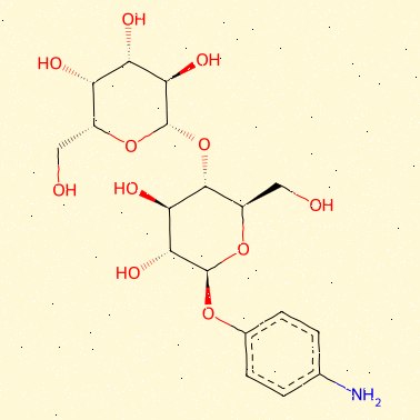 Nc1ccc(O[C@@H]2O[C@H](CO)[C@@H](O[C@@H]3O[C@H](CO)[C@H](O)[C@H](O)[C@H]3O)[C@H](O)[C@H]2O)cc1